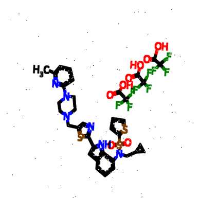 Cc1cccc(N2CCN(Cc3cnc(-c4cc5cccc(N(CC6CC6)S(=O)(=O)c6cccs6)c5[nH]4)s3)CC2)n1.O=C(O)C(F)(F)F.O=C(O)C(F)(F)F.O=C(O)C(F)(F)F